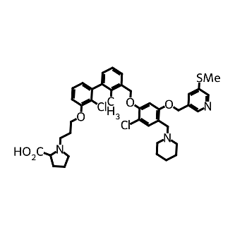 CSc1cncc(COc2cc(OCc3cccc(-c4cccc(OCCCN5CCCC5C(=O)O)c4Cl)c3C)c(Cl)cc2CN2CCCCC2)c1